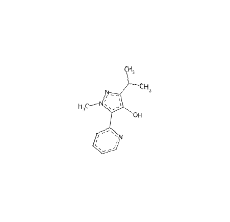 CC(C)c1nn(C)c(-c2ccccn2)c1O